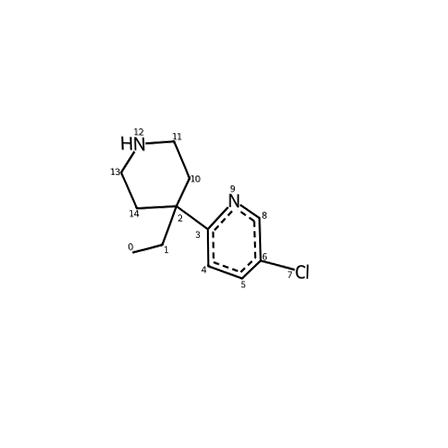 CCC1(c2ccc(Cl)cn2)CCNCC1